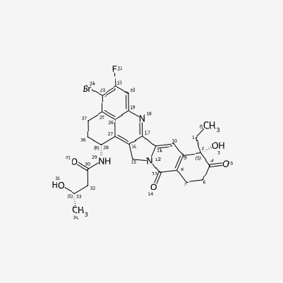 CC[C@@]1(O)C(=O)CCc2c1cc1n(c2=O)Cc2c-1nc1cc(F)c(Br)c3c1c2[C@H](NC(=O)C[C@H](C)O)CC3